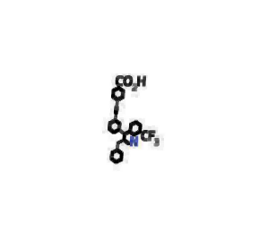 O=C(O)c1ccc(C#Cc2cccc(-c3c(Cc4ccccc4)cnc4c(C(F)(F)F)cccc34)c2)cc1